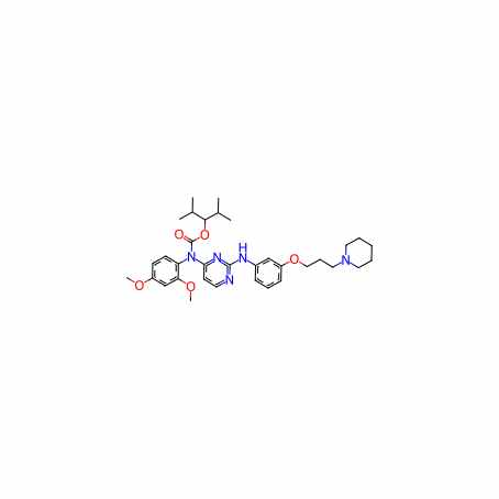 COc1ccc(N(C(=O)OC(C(C)C)C(C)C)c2ccnc(Nc3cccc(OCCCN4CCCCC4)c3)n2)c(OC)c1